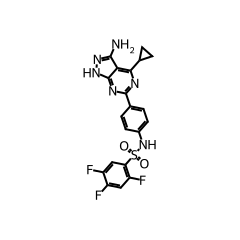 Nc1n[nH]c2nc(-c3ccc(NS(=O)(=O)c4cc(F)c(F)cc4F)cc3)nc(C3CC3)c12